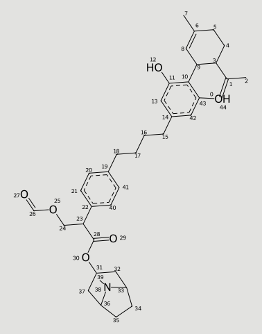 C=C(C)C1CCC(C)=CC1c1c(O)cc(CCCCc2ccc(C(COC=O)C(=O)OC3CC4CCC(C3)N4C)cc2)cc1O